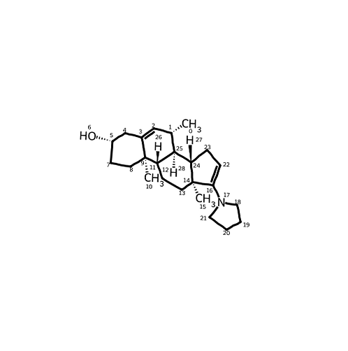 C[C@H]1C=C2C[C@@H](O)CC[C@]2(C)[C@H]2CC[C@]3(C)C(N4CCCC4)=CC[C@H]3[C@H]12